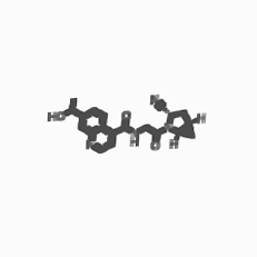 CC(O)c1ccc2c(C(=O)NCC(=O)N3[C@H](C#N)C[C@@H]4C[C@@H]43)ccnc2c1